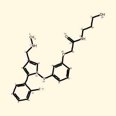 CNCc1cc(-c2ccccc2F)n(Sc2cccc(OCC(=O)NCCCO)c2)c1